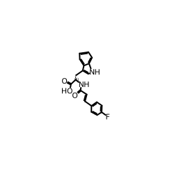 O=C(C=Cc1ccc(F)cc1)N[C@@H](Cc1c[nH]c2ccccc12)C(=O)O